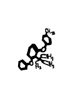 Cc1ccc(Oc2cccc(Oc3ccccc3)c2C(C)(C)C)cc1